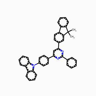 CC1(C)c2ccccc2-c2ccc(-c3cc(-c4ccc(-n5c6ccccc6c6ccccc65)cc4)nc(-c4ccccc4)n3)cc21